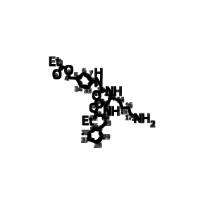 CCC(=O)OCc1ccc(NC(=O)N[C@@H](CCCCN)C(=O)N[C@@H](Cc2ccccc2)C(=O)CC)cc1